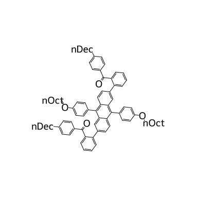 CCCCCCCCCCc1ccc(C(=O)c2ccccc2-c2ccc3c(-c4ccc(OCCCCCCCC)cc4)c4cc(-c5ccccc5C(=O)c5ccc(CCCCCCCCCC)cc5)ccc4c(-c4ccc(OCCCCCCCC)cc4)c3c2)cc1